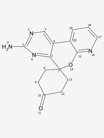 Nc1ncc2c(n1)C1(CCC(=O)CC1)Oc1ncccc1-2